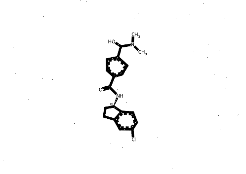 CN(C)C(O)c1ccc(C(=O)N[C@@H]2CCc3cc(Cl)ccc32)cc1